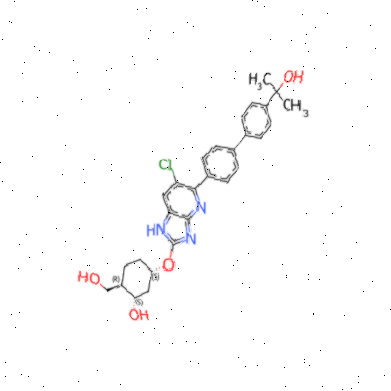 CC(C)(O)c1ccc(-c2ccc(-c3nc4nc(O[C@H]5CC[C@H](CO)[C@@H](O)C5)[nH]c4cc3Cl)cc2)cc1